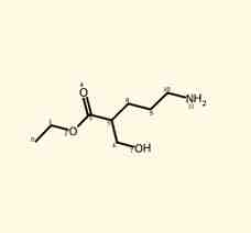 CCOC(=O)C(CO)CCCN